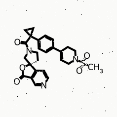 CS(=O)(=O)N1CC=C(c2ccc(C3(C(=O)N4CC[C@@]5(C4)OC(=O)c4cnccc45)CC3)cc2)CC1